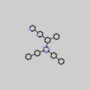 c1ccc(-c2ccc(-c3nc(-c4ccc(-c5ccccc5)cc4)nc(-c4cc(-c5ccccc5)cc(-c5ccc(-c6cccnc6)nc5)c4)n3)cc2)cc1